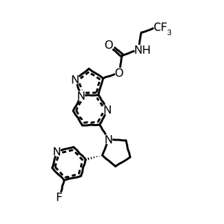 O=C(NCC(F)(F)F)Oc1cnn2ccc(N3CCC[C@@H]3c3cncc(F)c3)nc12